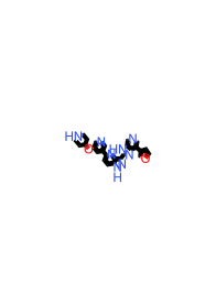 c1cc(-c2cncc3[nH]c(-c4n[nH]c5ccc(-c6cncc(OC7CCNCC7)c6)nc45)nc23)co1